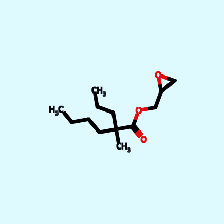 CCCCC(C)(CCC)C(=O)OCC1CO1